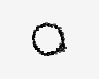 C1CCCCCCCCCCCCCCCN2CCCN=C(CCCCCCCCCCCCCC1)CCC2